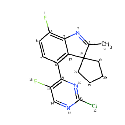 CC1=Nc2c(F)ccc(-c3nc(Cl)ncc3F)c2C12CCCC2